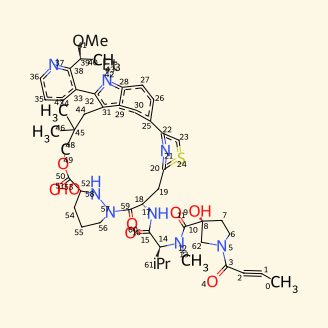 CC#CC(=O)N1CC[C@@](O)(C(=O)N(C)[C@H](C(=O)N[C@H]2Cc3nc(cs3)-c3ccc4c(c3)c(c(-c3cccnc3[C@H](C)OC)n4CC)CC(C)(C)COC(=O)[C@@]3(O)CCCN(N3)C2=O)C(C)C)C1